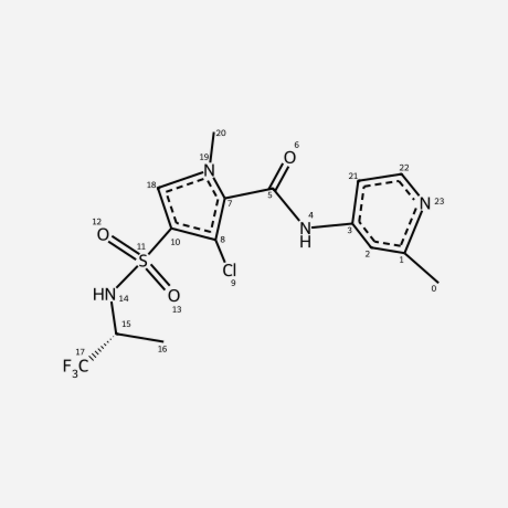 Cc1cc(NC(=O)c2c(Cl)c(S(=O)(=O)N[C@H](C)C(F)(F)F)cn2C)ccn1